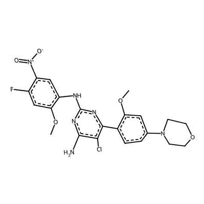 COc1cc(F)c([N+](=O)[O-])cc1Nc1nc(N)c(Cl)c(-c2ccc(N3CCOCC3)cc2OC)n1